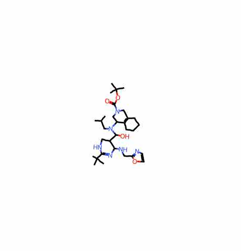 CC(C)CN(C1CN(C(=O)OC(C)(C)C)CC2=C1CCCC2)C(O)C1CNC(C(C)(C)C)=NC1NCc1ncco1